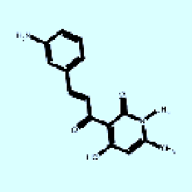 Cc1cc(O)c(C(=O)C=Cc2cccc(N)c2)c(=O)n1C